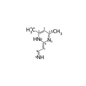 CC1=CC(C)=N/C(=C/C=N)N1